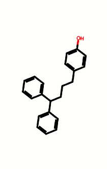 Oc1ccc(CCCC(c2ccccc2)c2ccccc2)cc1